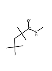 CN[S+]([O-])C(C)(C)CC(C)(C)C